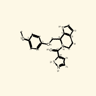 COc1ccc(OCC2c3sccc3CCN2C(=O)c2ccns2)cc1